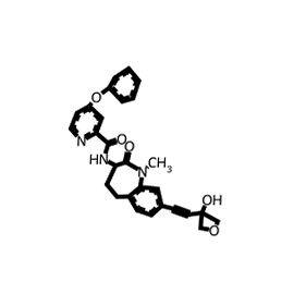 CN1C(=O)C(NC(=O)c2cc(Oc3ccccc3)ccn2)CCc2ccc(C#CC3(O)COC3)cc21